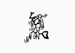 [N-]=[N+]=NCC(NC(=O)C1=C(N=O)[C@@H]2Oc3c(N=O)ccc4c3[C@@]23CCN(CC2CC2)[C@H](C4)[C@]3(N=O)C1)c1nc(-c2ccccc2)no1